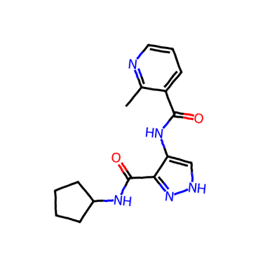 Cc1ncccc1C(=O)Nc1c[nH]nc1C(=O)NC1CCCC1